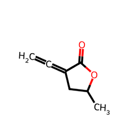 C=C=C1CC(C)OC1=O